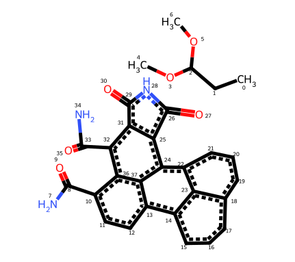 CCC(OC)OC.NC(=O)c1ccc2c3cccc4cccc(c43)c3c4c(=O)[nH]c(=O)c4c(C(N)=O)c1c23